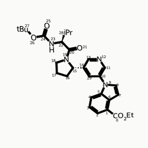 CCOC(=O)c1cccc2c1ccn2-c1cncc([C@@H]2CCCN2C(=O)[C@@H](NC(=O)OC(C)(C)C)C(C)C)c1